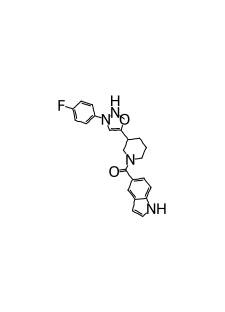 O=C(c1ccc2[nH]ccc2c1)N1CCCC(C2=CN(c3ccc(F)cc3)NO2)C1